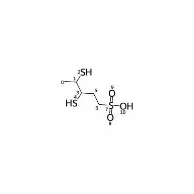 CC(S)C(S)CCS(=O)(=O)O